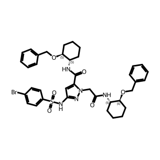 O=C(Cn1nc(NS(=O)(=O)c2ccc(Br)cc2)cc1C(=O)N[C@H]1CCCC[C@@H]1OCc1ccccc1)N[C@H]1CCCC[C@@H]1OCc1ccccc1